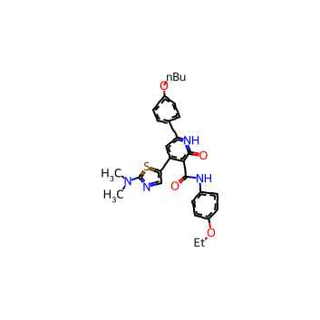 CCCCOc1ccc(-c2cc(-c3cnc(N(C)C)s3)c(C(=O)Nc3ccc(OCC)cc3)c(=O)[nH]2)cc1